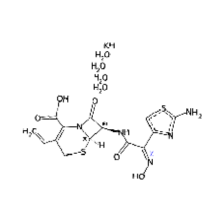 C=CC1=C(C(=O)O)N2C(=O)[C@@H](NC(=O)/C(=N\O)c3csc(N)n3)[C@H]2SC1.O.O.O.O.[KH]